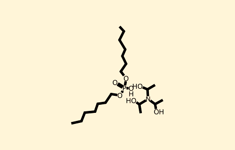 CC(O)N(C(C)O)C(C)O.CCCCCCCOP(=O)(O)OCCCCCCC